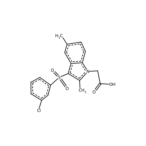 Cc1ccc2c(c1)c(S(=O)(=O)c1cccc(Cl)c1)c(C)n2CC(=O)O